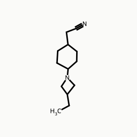 CCC1CN(C2CCC(CC#N)CC2)C1